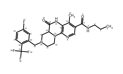 CCCNC(=O)c1cnc2c(c1C)NC(=O)C1CN(Cc3cc(F)ccc3C(F)(F)F)CCN21